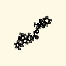 O=C(COCCNS(=O)(=O)c1ccccc1)N1CCC(CCCN2CCCC2)(c2ccncc2)CC1